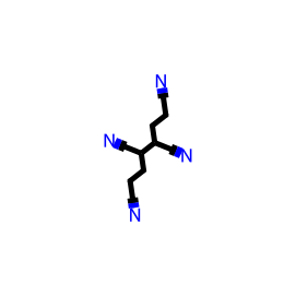 N#CCCC(C#N)C(C#N)CCC#N